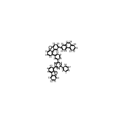 c1ccc(-c2nc(-c3cccc(-c4cccc5oc6ccc(-c7ccc8c(ccc9ccccc98)c7)cc6c45)c3)nc(-c3cccc4c3oc3ccccc34)n2)cc1